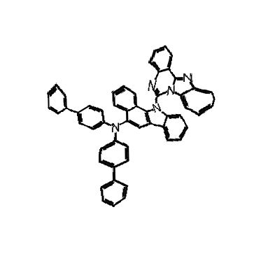 c1ccc(-c2ccc(N(c3ccc(-c4ccccc4)cc3)c3cc4c5ccccc5n(-c5nc6ccccc6c6nc7ccccc7n56)c4c4ccccc34)cc2)cc1